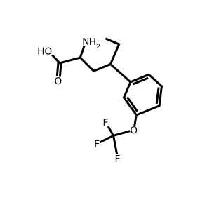 CCC(CC(N)C(=O)O)c1cccc(OC(F)(F)F)c1